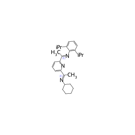 C/C(=N\c1c(C(C)C)cccc1C(C)C)c1cccc(/C(C)=N/C2CCCCC2)n1